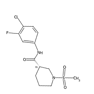 CS(=O)(=O)N1CCC[C@H](C(=O)Nc2ccc(Cl)c(F)c2)C1